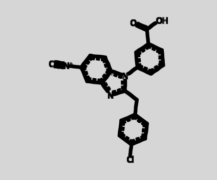 [C-]#[N+]c1ccc2c(c1)nc(Cc1ccc(Cl)cc1)n2-c1cccc(C(=O)O)c1